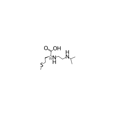 CSCC[C@H](NCCNC(C)C)C(=O)O